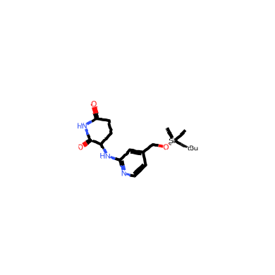 CC(C)(C)[Si](C)(C)OCc1ccnc(NC2CCC(=O)NC2=O)c1